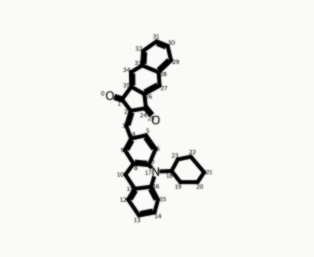 O=C1C(=Cc2ccc3c(c2)Cc2ccccc2N3C2CCCCC2)C(=O)c2cc3ccccc3cc21